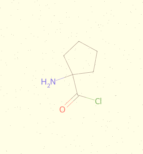 NC1(C(=O)Cl)CCCC1